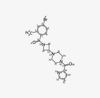 Cc1cc(Br)ccc1C(=O)N1CC(N2CCN(C(=O)c3cscn3)CC2)C1